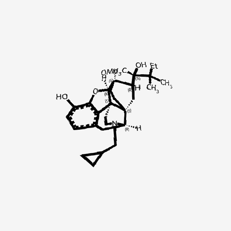 CCC(C)(C)[C@@](C)(O)[C@H]1C[C@@]23CC[C@@]1(OC)[C@@H]1Oc4c(O)ccc5c4[C@@]12CCN(CC1CC1)[C@@H]3C5